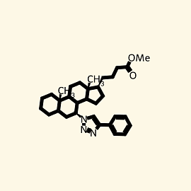 COC(=O)CCC[C@H]1CCC2C3C(CC[C@@]21C)[C@@]1(C)CCCCC1C[C@@H]3n1cc(-c2ccccc2)nn1